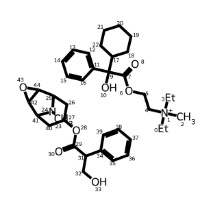 CC[N+](C)(CC)CCOC(=O)C(O)(c1ccccc1)C1CCCCC1.CN1C2CC(OC(=O)C(CO)c3ccccc3)CC1C1OC12